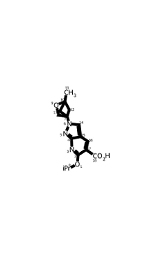 CC(C)Oc1nc2nn(C34COC(C)(C3)C4)cc2cc1C(=O)O